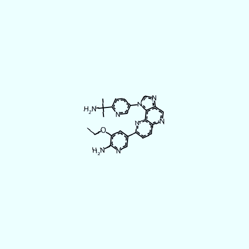 CCOc1cc(-c2ccc3ncc4ncn(-c5ccc(C(C)(C)N)nc5)c4c3n2)cnc1N